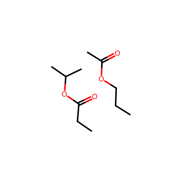 CCC(=O)OC(C)C.CCCOC(C)=O